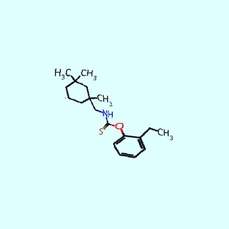 CCc1ccccc1OC(=S)NCC1(C)C[CH]CC(C)(C)C1